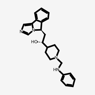 O[C@H](C[C@@H]1c2ccccc2-c2cncn21)C1CCN(CNc2ccccc2)CC1